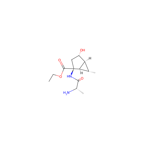 CCOC(=O)[C@]1(NC(=O)[C@H](C)N)C[C@H](O)[C@H]2[C@H](C)[C@H]21